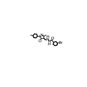 CC1=NN(c2ccc(C)cc2)C(=O)/C1=C/NNC(=O)c1cccc(Br)c1